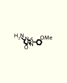 COc1cccc(-c2nn3c(=O)cc(CN)nc3s2)c1